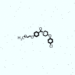 COCCOc1ccc(C(=O)N2CCC(Oc3ccc(Cl)cc3)CC2)cc1